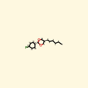 CCCCCC[C@H]1CO[C@H](C2CCC(F)CC2)OC1